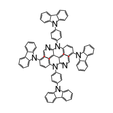 c1cnc(N(c2ccc(-n3c4ccccc4c4ccccc43)cc2)c2ccc(-n3c4ccccc4c4ccccc43)cc2)c(-c2cccnc2N(c2ccc(-n3c4ccccc4c4ccccc43)cc2)c2ccc(-n3c4ccccc4c4ccccc43)cc2)c1